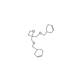 C1=CCC(COCC2(COCC3CC=CCC3)CCO2)CC1